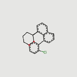 Clc1ccccc1-c1cccc2cccc(C3CCCCC3)c12